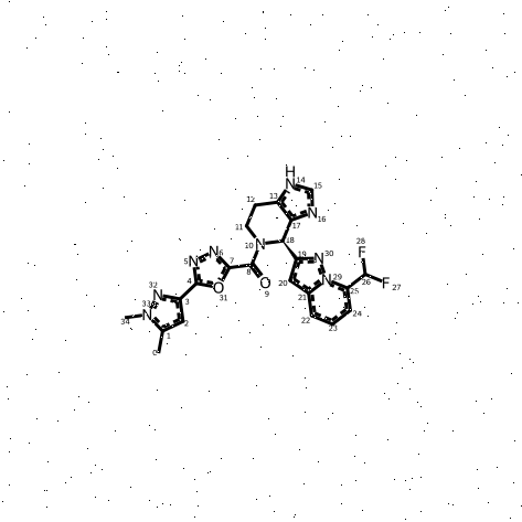 Cc1cc(-c2nnc(C(=O)N3CCc4[nH]cnc4[C@H]3c3cc4cccc(C(F)F)n4n3)o2)nn1C